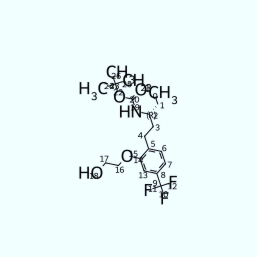 CC[C@H](CCc1ccc(C(F)(F)F)cc1OCCO)NC(=O)OC(C)(C)C